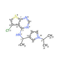 CC(Nc1ncnc2scc(Cl)c12)c1ccn(C(C)C)c1